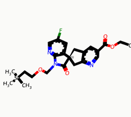 CCOC(=O)c1cnc2c(c1)C[C@@]1(C2)C(=O)N(COCC[Si](C)(C)C)c2ncc(F)cc21